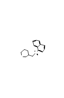 O=S(=O)(CC1CCCNC1)c1cccc2ccccc12